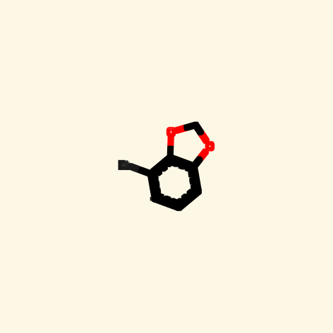 CCc1[c]ccc2c1OCO2